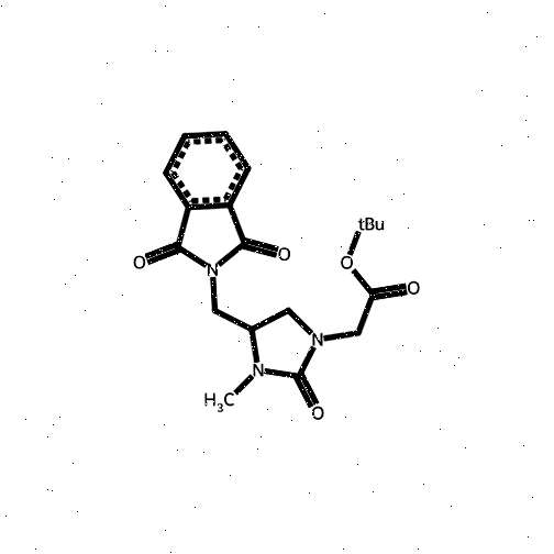 CN1C(=O)N(CC(=O)OC(C)(C)C)CC1CN1C(=O)c2ccccc2C1=O